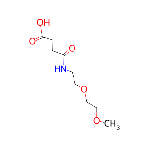 COCCOCCNC(=O)CCC(=O)O